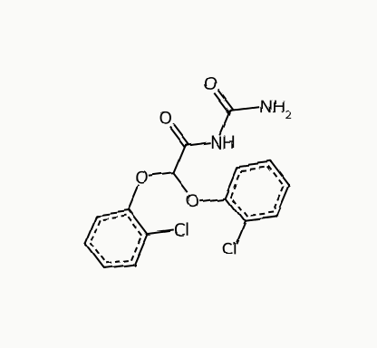 NC(=O)NC(=O)C(Oc1ccccc1Cl)Oc1ccccc1Cl